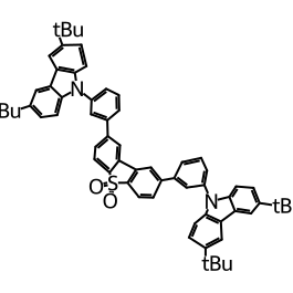 CC(C)(C)c1ccc2c(c1)c1cc(C(C)(C)C)ccc1n2-c1cccc(-c2ccc3c(c2)-c2cc(-c4cccc(-n5c6ccc(C(C)(C)C)cc6c6cc(C(C)(C)C)ccc65)c4)ccc2S3(=O)=O)c1